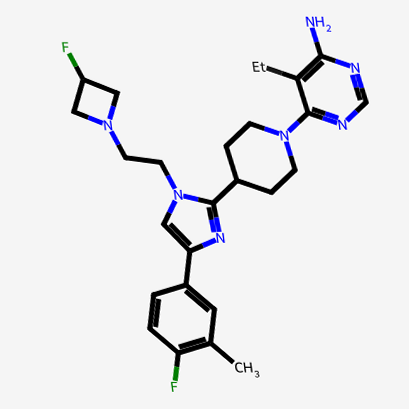 CCc1c(N)ncnc1N1CCC(c2nc(-c3ccc(F)c(C)c3)cn2CCN2CC(F)C2)CC1